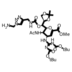 COC(=O)C1=C[C@H](N/C(=N/C(=O)OC(C)(C)C)NC(=O)OC(C)(C)C)[C@@H](NC(C)=O)[C@H]([C@H](OC(=O)NCc2cn(CN)nn2)[C@H]2COC(C)(C)O2)O1